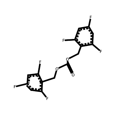 O=C(OCc1c(F)cc(F)cc1F)OCc1c(F)cc(F)cc1F